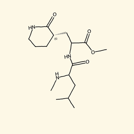 CNC(CC(C)C)C(=O)NC(C[C@@H]1CCCNC1=O)C(=O)OC